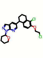 ClCCOc1ccc2c(c1Cl)CCCC2c1cnc2c(cnn2C2CCCCO2)c1